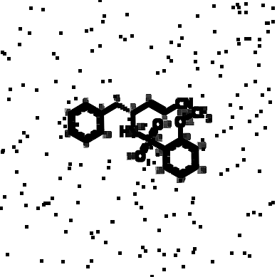 N#C/C=C/[C@@H](Cc1ccccc1)NS(=O)(=O)c1ccccc1OC(F)(F)F